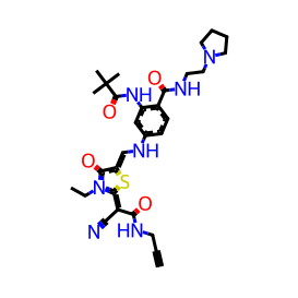 C#CCNC(=O)C(C#N)=c1sc(=CNc2ccc(C(=O)NCCN3CCCC3)c(NC(=O)C(C)(C)C)c2)c(=O)n1CC